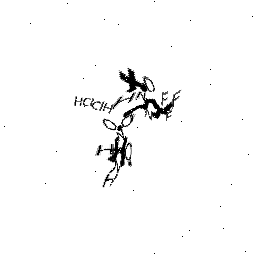 CO[C@]12CNC[C@@H]1CN(C(=O)OCc1ncc(C(F)(F)F)cc1NC(=O)C(C)(C)C)C2.Cl.Cl